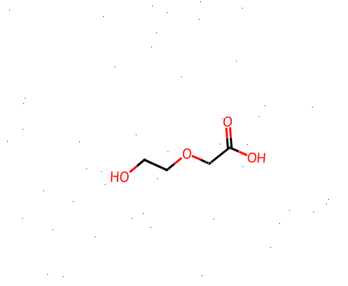 O=C(O)COCCO